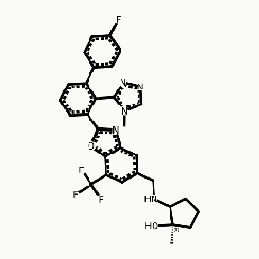 Cn1cnnc1-c1c(-c2ccc(F)cc2)cccc1-c1nc2cc(CNC3CCC[C@@]3(C)O)cc(C(F)(F)F)c2o1